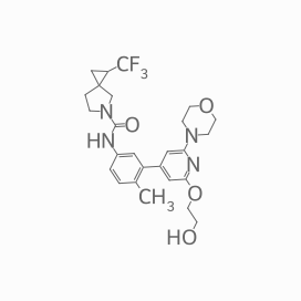 Cc1ccc(NC(=O)N2CCC3(CC3C(F)(F)F)C2)cc1-c1cc(OCCO)nc(N2CCOCC2)c1